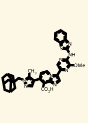 COc1nc(-c2cnc3c(C(=O)O)c(-c4cnn(CC56CC7CC(CC(C7)C5)C6)c4C)ccn23)cnc1Nc1nc2ccccc2s1